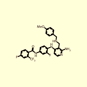 COc1ccc(CNCc2c(Nc3ccc(NC(=O)c4ccc(F)cc4C(F)(F)F)cc3F)ccnc2N)cc1